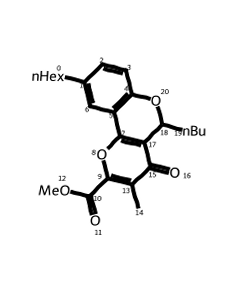 CCCCCCc1ccc2c(c1)-c1oc(C(=O)OC)c(C)c(=O)c1C(CCCC)O2